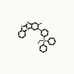 CCS(c1ccccc1)(c1ccccc1)c1cccc(-c2cc3c(cc2C)nc2sc4ccccc4n23)c1